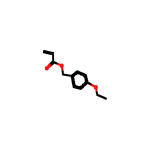 C=CC(=O)OCc1ccc(OCC)cc1